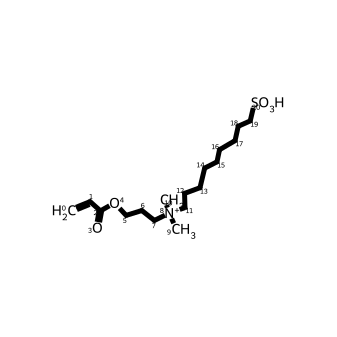 C=CC(=O)OCCC[N+](C)(C)CCCCCCCCCS(=O)(=O)O